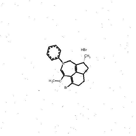 Br.COC1=CN(c2ccccc2)CC2=C3C1=C(Br)CC[C@@H]3C[C@H]2C